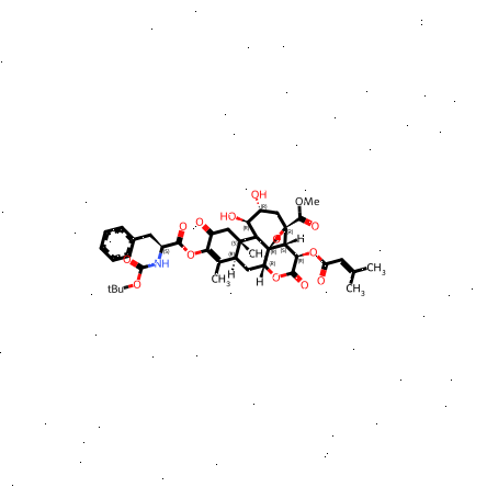 COC(=O)[C@]12C[C@@H](O)[C@H](O)C3[C@]4(CO1)[C@H]2[C@@H](OC(=O)C=C(C)C)C(=O)O[C@@H]4C[C@H]1C(C)=C(OC(=O)[C@H](Cc2ccccc2)NC(=O)OC(C)(C)C)C(=O)C[C@]31C